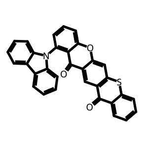 O=c1c2ccccc2sc2cc3oc4cccc(-n5c6ccccc6c6ccccc65)c4c(=O)c3cc12